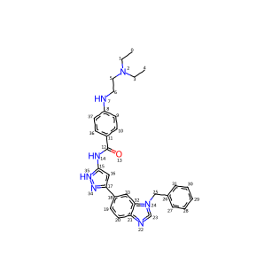 CCN(CC)CCNc1ccc(C(=O)Nc2cc(-c3ccc4ncn(Cc5ccccc5)c4c3)n[nH]2)cc1